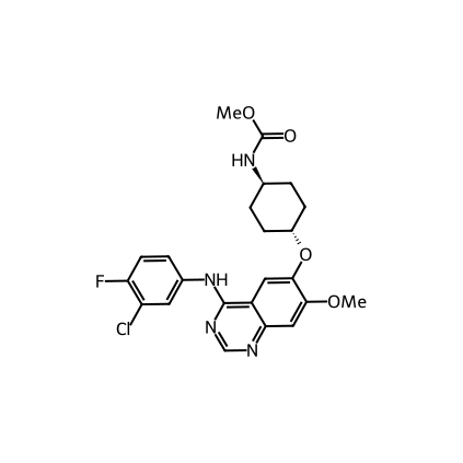 COC(=O)N[C@H]1CC[C@H](Oc2cc3c(Nc4ccc(F)c(Cl)c4)ncnc3cc2OC)CC1